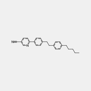 CCCCCc1ccc(CCc2ccc(-c3ccc(C#N)cn3)cc2)cc1